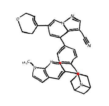 Cn1ccc2cc(CN3C4CC3CN(c3ccc(-c5cc(C6=CCOCC6)cn6ncc(C#N)c56)cn3)C4)cnc21